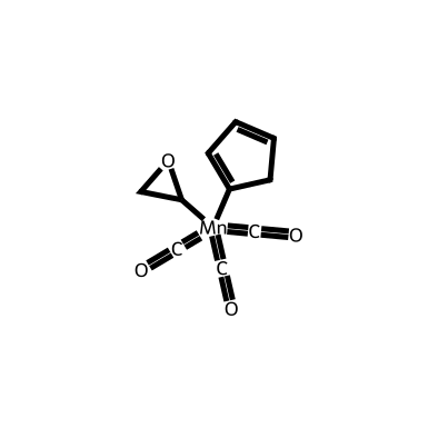 O=[C]=[Mn](=[C]=O)(=[C]=O)([C]1=CC=CC1)[CH]1CO1